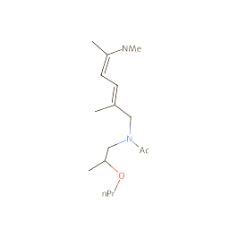 CCCOC(C)CN(C/C(C)=C/C=C(/C)NC)C(C)=O